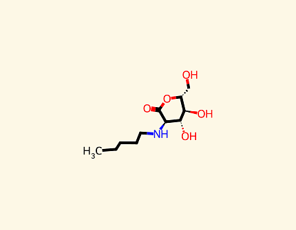 CCCCCN[C@H]1C(=O)O[C@H](CO)[C@@H](O)[C@@H]1O